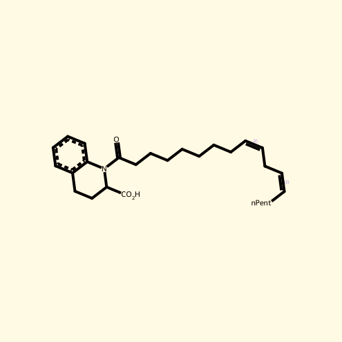 CCCCC/C=C\C/C=C\CCCCCCCC(=O)N1c2ccccc2CCC1C(=O)O